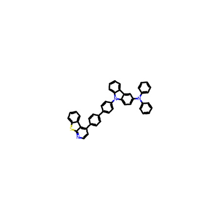 c1ccc(N(c2ccccc2)c2ccc3c(c2)c2ccccc2n3-c2ccc(-c3ccc(-c4ccnc5sc6ccccc6c45)cc3)cc2)cc1